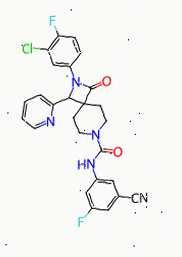 N#Cc1cc(F)cc(NC(=O)N2CCC3(CC2)C(=O)N(c2ccc(F)c(Cl)c2)C3c2ccccn2)c1